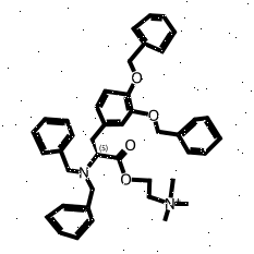 C[N+](C)(C)CCOC(=O)[C@H](Cc1ccc(OCc2ccccc2)c(OCc2ccccc2)c1)N(Cc1ccccc1)Cc1ccccc1